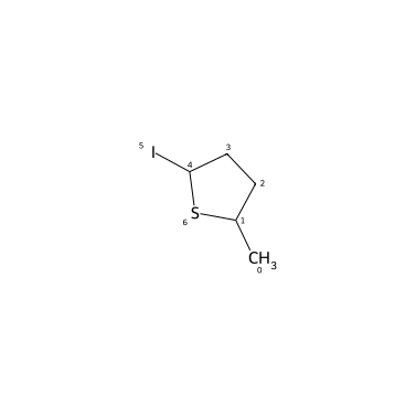 CC1CCC(I)S1